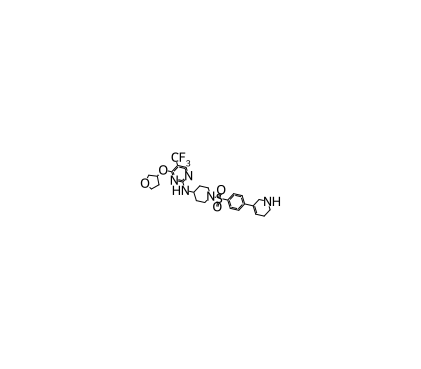 O=S(=O)(c1ccc(C2=CCCNC2)cc1)N1CCC(Nc2ncc(C(F)(F)F)c(O[C@H]3CCOC3)n2)CC1